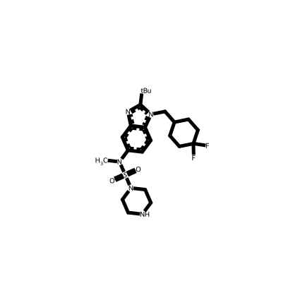 CN(c1ccc2c(c1)nc(C(C)(C)C)n2CC1CCC(F)(F)CC1)S(=O)(=O)N1CCNCC1